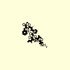 CC[C@H](C)[C@@H]([C@@H](CC(=O)N1CCC[C@H]1[C@H](C)[C@@H](C)C(=O)N[C@@H](Cc1ccccc1)C(=O)OC)OC)N(C)C(=O)[C@@H](NC(=O)C(C)(C)N)C(C)C